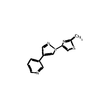 Cc1nc(-n2cc(-c3cccnc3)cn2)cs1